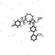 Cc1ccccc1-c1ccc([C@@H]2[C@@H](CO)N3CCCCN(S(=O)(=O)c4ccc(F)cc4)C[C@@H]23)cc1